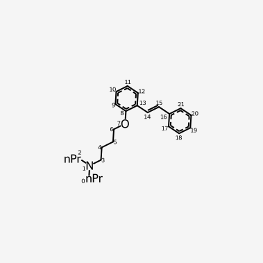 CCCN(CCC)CCCCOc1ccccc1C=Cc1ccccc1